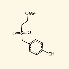 COCCS(=O)(=O)Cc1ccc(C)cc1